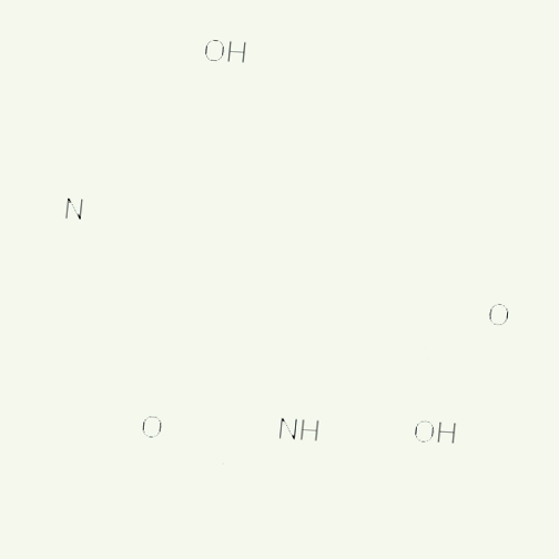 CC(=O)Nc1ccccc1C(=O)O.CN(C)CCO